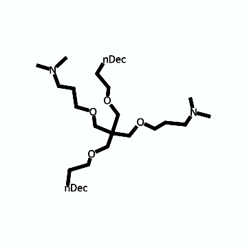 CCCCCCCCCCCCOCC(COCCCCCCCCCCCC)(COCCCN(C)C)COCCCN(C)C